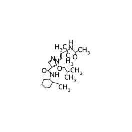 CCC1CCCC[C@@H]1NC(=O)c1cnn(/C=C/C(C)(C)NC(C)=O)c1OCC(C)C